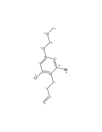 C=CCCc1c(Cl)cc(OCOC)cc1Br